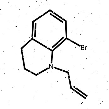 C=CCN1CCCc2cccc(Br)c21